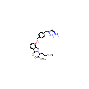 CNC(=O)C(CCC=O)N1Cc2c(OCc3ccc(CN(N)/C=C\N)cc3)cccc2C1=O